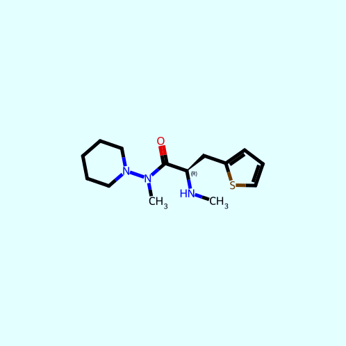 CN[C@H](Cc1cccs1)C(=O)N(C)N1CCCCC1